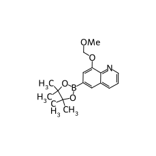 COCOc1cc(B2OC(C)(C)C(C)(C)O2)cc2cccnc12